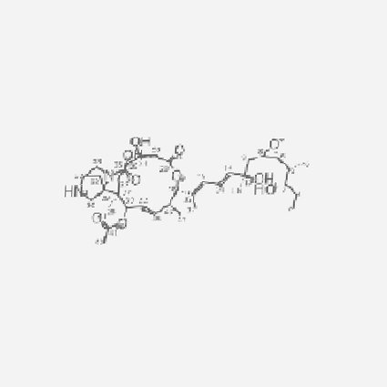 CC[C@H](O)[C@@H](C)[C@H]1O[C@@H]1C[C@@](C)(O)/C=C/C=C(\C)[C@H]1OC(=O)C[C@H](O)CC[C@](C)(C23CNC(CN2C(=O)O)C3)[C@H](OC(C)=O)/C=C/[C@@H]1C